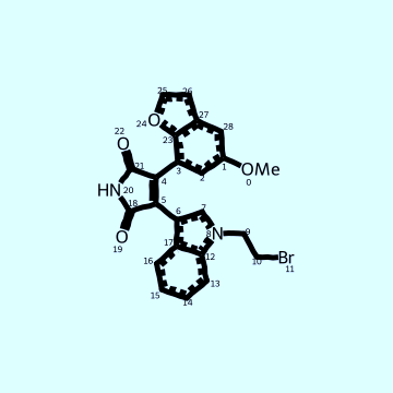 COc1cc(C2=C(c3cn(CCBr)c4ccccc34)C(=O)NC2=O)c2occc2c1